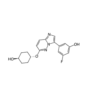 Oc1cc(F)cc(-c2cnc3ccc(O[C@H]4CC[C@H](O)CC4)nn23)c1